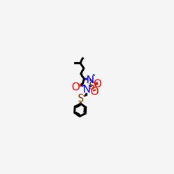 CC(C)CCC1C(=O)N(CSc2ccccc2)S(=O)(=O)N1C